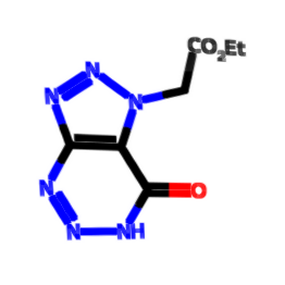 CCOC(=O)Cn1nnc2nn[nH]c(=O)c21